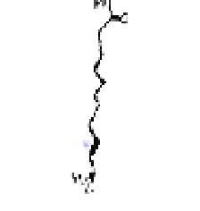 C=C/C=C/CCCCCCCC(=O)O